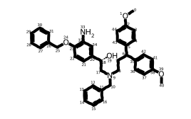 COc1ccc(C(CCN(Cc2ccccc2)C[C@@H](O)c2ccc(OCc3ccccc3)c(N)c2)c2ccc(OC)cc2)cc1